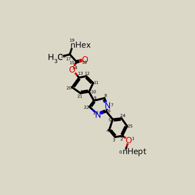 CCCCCCCOc1ccc(-c2ncc(-c3ccc(OC(=O)C(C)CCCCCC)cc3)cn2)cc1